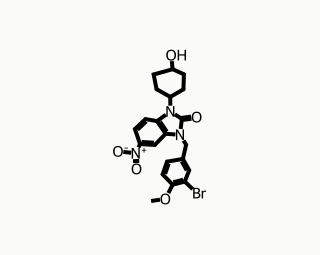 COc1ccc(Cn2c(=O)n(C3CCC(O)CC3)c3ccc([N+](=O)[O-])cc32)cc1Br